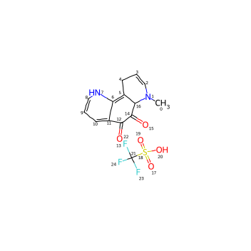 CN1C=CCC2=C3NC=CC=C3C(=O)C(=O)C21.O=S(=O)(O)C(F)(F)F